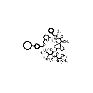 CC[C@H](C)[C@@H]([C@@H](CC(=O)N1CCC[C@H]1[C@H](OC)[C@@H](C)C(=O)N[C@H](C)[C@@H](OC1CCCC(COCc2ccc(C3CCCCCCCC3)cc2)O1)c1ccccc1)OC)N(C)C(=O)[C@@H](N)C(C)C